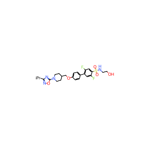 CC(C)c1noc(N2CCC(COc3ccc(-c4cc(F)c(S(=O)(=O)NCCO)cc4F)cc3)CC2)n1